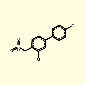 O=[SH](=O)Cc1[c]cc(-c2ccc(Cl)cc2)cc1Cl